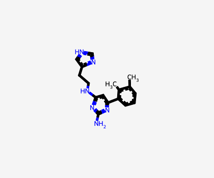 Cc1cccc(-c2cc(NCCc3c[nH]cn3)nc(N)n2)c1C